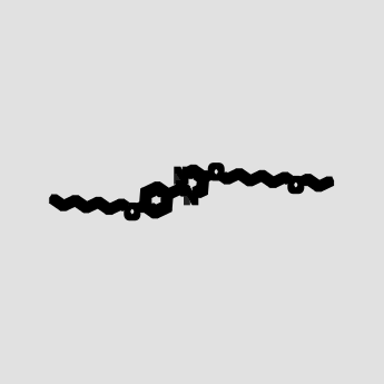 CCCCCCCOc1ccc(-c2ncc(OCCCCCCOCCC)cn2)cc1